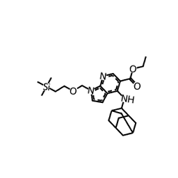 CCOC(=O)c1cnc2c(ccn2COCC[Si](C)(C)C)c1NC1C2CC3CC(C2)CC1C3